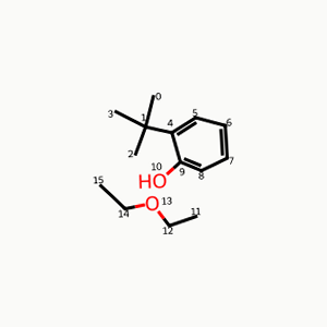 CC(C)(C)c1ccccc1O.CCOCC